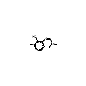 CN(C)/C=N\c1cccc(F)c1C#N